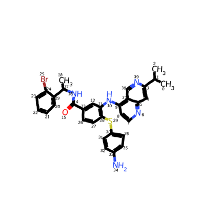 CC(C)c1cc2nccc(Nc3cc(C(=O)NC(C)c4ccccc4Br)ccc3Sc3ccc(N)cc3)c2cn1